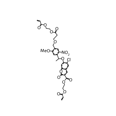 C=CC(=O)OCCOC(=O)CCOCc1cc([N+](=O)[O-])c(C(C)Oc2cc3oc(=O)c(C(=O)OCCOC(=O)C=C)cc3cc2Cl)cc1OC